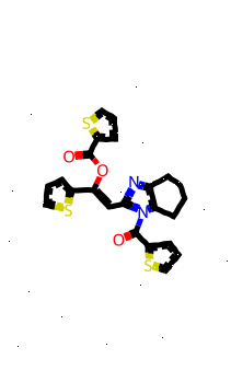 O=C(O/C(=C\c1nc2c(n1C(=O)c1cccs1)CCCC2)c1cccs1)c1cccs1